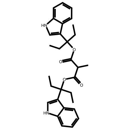 CCC(CC)(OC(=O)C(C)C(=O)OC(CC)(CC)c1c[nH]c2ccccc12)c1c[nH]c2ccccc12